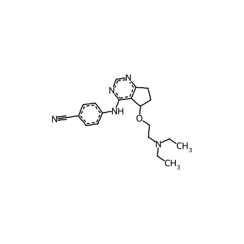 CCN(CC)CCOC1CCc2ncnc(Nc3ccc(C#N)cc3)c21